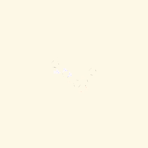 Cc1ccc(Nc2cc(Oc3cc(O)c4c(=O)cc(-c5ccccc5)oc4c3)nc(C)n2)cc1